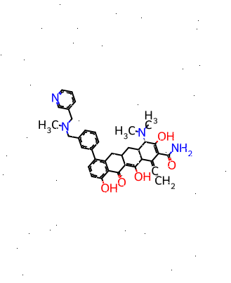 C=C=C1C(C(N)=O)=C(O)[C@@H](N(C)C)C2CC3Cc4c(-c5cccc(CN(C)Cc6cccnc6)c5)ccc(O)c4C(=O)C3=C(O)C12